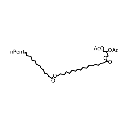 CCCCCC=CCCCCCCCCCCC(=O)OCCCCCCCCCCCCCCCCCC(=O)OCC(COC(C)=O)OC(C)=O